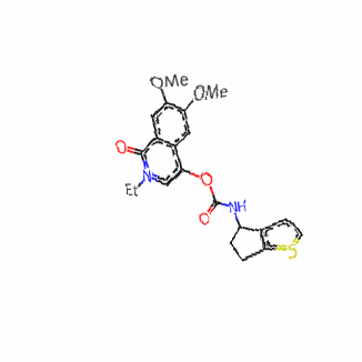 CCn1cc(OC(=O)NC2CCc3sccc32)c2cc(OC)c(OC)cc2c1=O